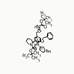 CC(C)(C)OC(=O)NOCc1cccc([C@]2(C(=O)N(C(=O)OCc3ccccc3)[C@H]3CCNC3)CCCCN2C(=O)OC(C)(C)C)c1